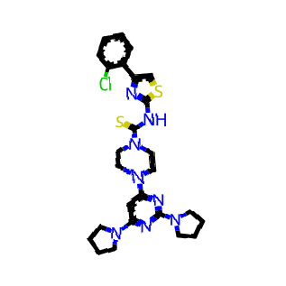 S=C(Nc1nc(-c2ccccc2Cl)cs1)N1CCN(c2cc(N3CCCC3)nc(N3CCCC3)n2)CC1